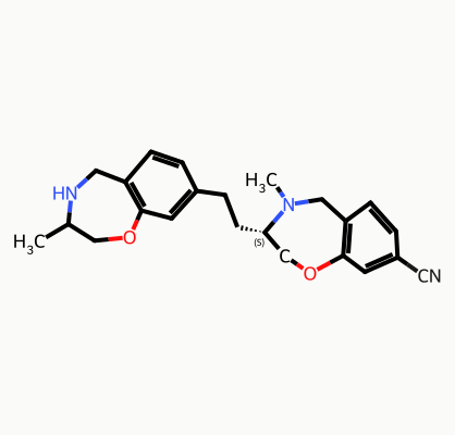 CC1COc2cc(CC[C@H]3COc4cc(C#N)ccc4CN3C)ccc2CN1